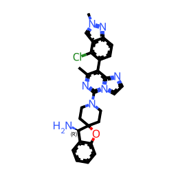 Cc1nc(N2CCC3(CC2)Oc2ccccc2[C@H]3N)n2ccnc2c1-c1ccc2nn(C)cc2c1Cl